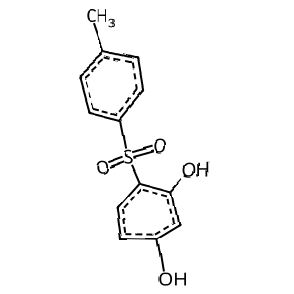 Cc1ccc(S(=O)(=O)c2ccc(O)cc2O)cc1